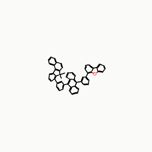 CC1(C)c2ccc3ccccc3c2-c2cccc(-c3cccc(-c4c5ccccc5c(-c5cccc(-c6cccc7c6oc6ccccc67)c5)c5ccccc45)c3)c21